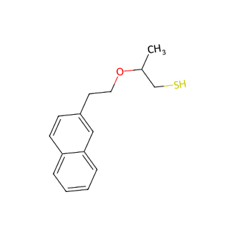 CC(CS)OCCc1ccc2ccccc2c1